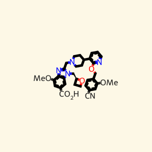 COc1cc(C#N)ccc1COc1ncccc1C1CCN(Cc2nc3c(OC)cc(C(=O)O)cc3n2C[C@@H]2CCO2)CC1